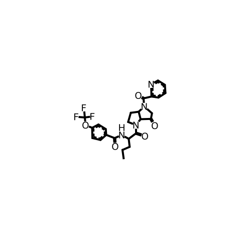 CCCC(NC(=O)c1ccc(OC(F)(F)F)cc1)C(=O)N1CCC2C1C(=O)CN2C(=O)c1ccccn1